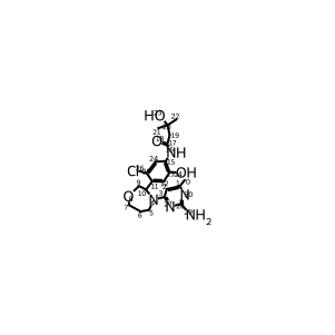 Cc1cc(N2CCCOCC2c2cc(O)c(NC(=O)CC(C)(C)O)cc2Cl)nc(N)n1